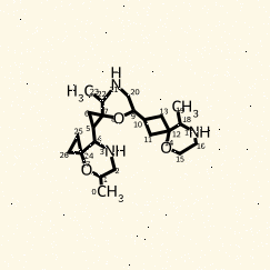 CC1CNC(C2CC23OC(C2CC4(C2)OCCNC4C)CNC3C)C2(CC2)O1